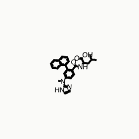 CC(C)CC(NC(=O)c1ccc(N(C)c2ncc[nH]2)cc1-c1cccc2ccccc12)C(=O)O